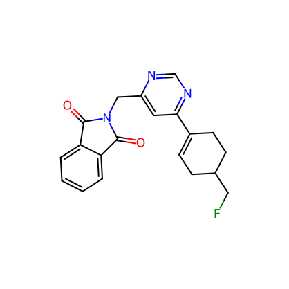 O=C1c2ccccc2C(=O)N1Cc1cc(C2=CCC(CF)CC2)ncn1